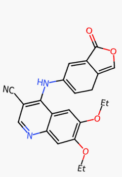 CCOc1cc2ncc(C#N)c(NC3=CCC4=COC(=O)C4=C3)c2cc1OCC